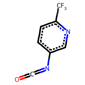 O=C=Nc1ccc(C(F)(F)F)nc1